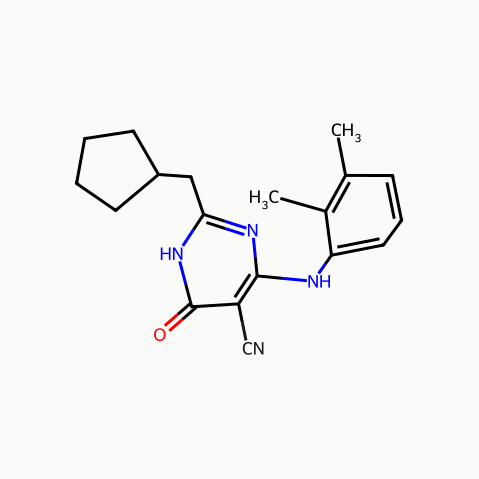 Cc1cccc(Nc2nc(CC3CCCC3)[nH]c(=O)c2C#N)c1C